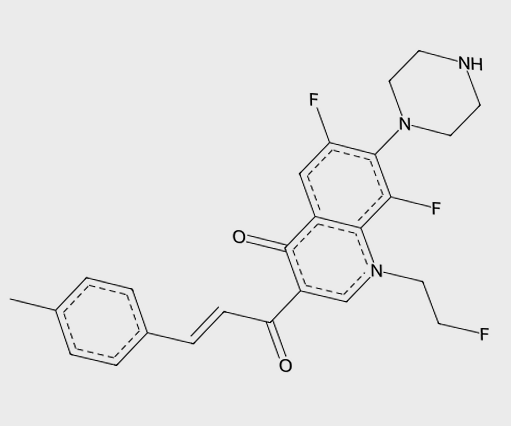 Cc1ccc(C=CC(=O)c2cn(CCF)c3c(F)c(N4CCNCC4)c(F)cc3c2=O)cc1